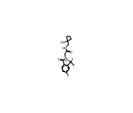 O=C(CNC(=O)c1ccc(F)cc1C(F)(F)F)NCC1(O)CCC1